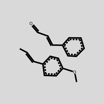 CC=Cc1ccc(OC)cc1.O=CC=Cc1ccccc1